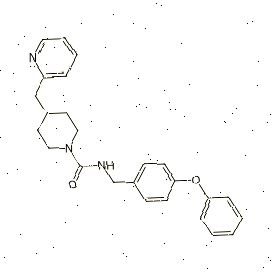 O=C(NCc1ccc(Oc2ccccc2)cc1)N1CCC(Cc2ccccn2)CC1